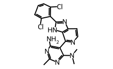 Cc1nc(N)c(-c2nccc3nc(-c4c(Cl)cccc4Cl)[nH]c23)c(N(C)C)n1